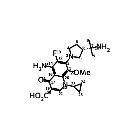 COc1c(N2CC[C@H](C(C)(C)N)C2)c(F)c(N)c2c(=O)c(C(=O)O)cn(C3CC3)c12